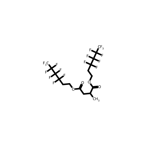 CC(CC(=O)OCCC(F)(F)C(F)(F)C(F)(F)C(F)(F)F)C(=O)OCCC(F)(F)C(F)(F)C(F)(F)C(F)(F)F